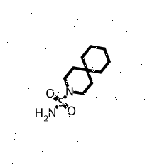 NS(=O)(=O)N1CCC2(CCCCC2)CC1